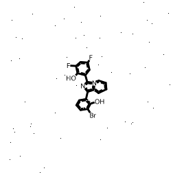 Oc1c(F)cc(F)cc1-c1nc(-c2cccc(Br)c2O)c2ccccn12